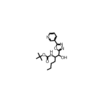 CCCCC(NC(=O)OC(C)(C)C)C(O)c1nnc(-c2cccnc2)o1